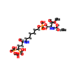 CC(C)(C)OC(=O)NC(CO[PH](O)(O)OCCCCCCNC(=O)CCC(P(=O)(O)O)P(=O)(O)O)C(=O)OC(C)(C)C